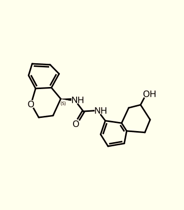 O=C(Nc1cccc2c1CC(O)CC2)N[C@H]1CCOc2ccccc21